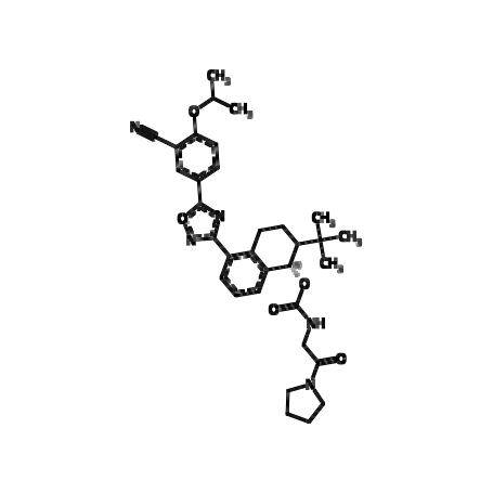 CC(C)Oc1ccc(-c2nc(-c3cccc4c3CCC(C(C)(C)C)[C@@H]4OC(=O)NCC(=O)N3CCCC3)no2)cc1C#N